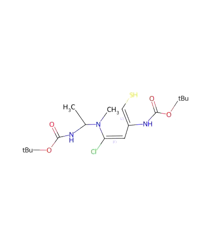 CC(NC(=O)OC(C)(C)C)N(C)/C(Cl)=C\C(=C\S)NC(=O)OC(C)(C)C